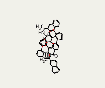 C[C@@H](NC(=O)c1ccc(-c2cccc3cccc(-c4ccc(-c5cccc6cccc(-c7ccc(C(=O)N[C@H](C)c8ccc9ccccc9c8)cc7)c56)c5nsnc45)c23)cc1)c1ccc2ccccc2c1